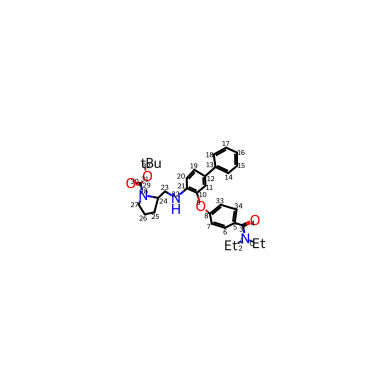 CCN(CC)C(=O)c1ccc(Oc2cc(-c3ccccc3)ccc2NCC2CCCN2C(=O)OC(C)(C)C)cc1